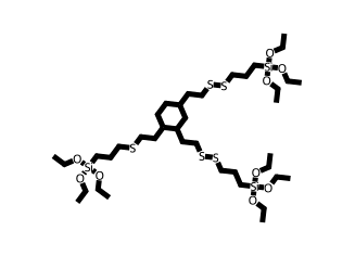 CCO[Si](CCCSCCC1CCC(CCSSCCC[Si](OCC)(OCC)OCC)CC1CCSSCCC[Si](OCC)(OCC)OCC)(OCC)OCC